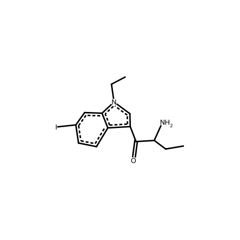 CCC(N)C(=O)c1cn(CC)c2cc(I)ccc12